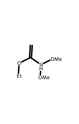 C=C(OCC)[SiH](OC)OC